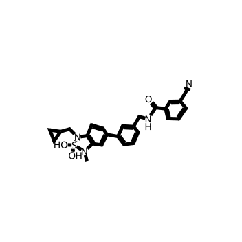 CN1c2cc(-c3cccc(CNC(=O)c4cccc(C#N)c4)c3)ccc2N(CC2CC2)S1(O)O